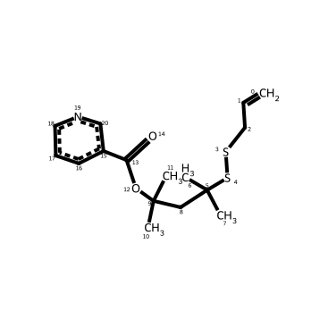 C=CCSSC(C)(C)CC(C)(C)OC(=O)c1cccnc1